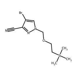 C[Si](C)(C)CCOCn1cc(Br)c(C#N)n1